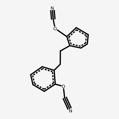 N#COc1ccccc1CCc1ccccc1OC#N